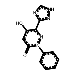 O=c1cc(O)c(-c2nc[nH]n2)nn1-c1ccccc1